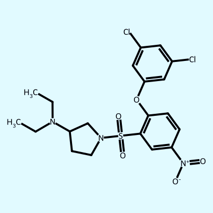 CCN(CC)C1CCN(S(=O)(=O)c2cc([N+](=O)[O-])ccc2Oc2cc(Cl)cc(Cl)c2)C1